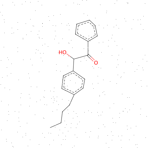 CCCCc1ccc(C(O)C(=O)c2ccccc2)cc1